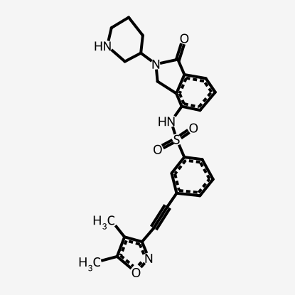 Cc1onc(C#Cc2cccc(S(=O)(=O)Nc3cccc4c3CN(C3CCCNC3)C4=O)c2)c1C